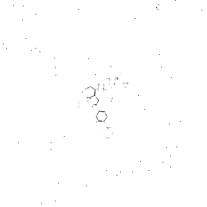 O=C(C1CC1)N1CCN(c2ccnc3[nH]c(-c4ccc(C5CCCOC5)cc4)cc23)CC1